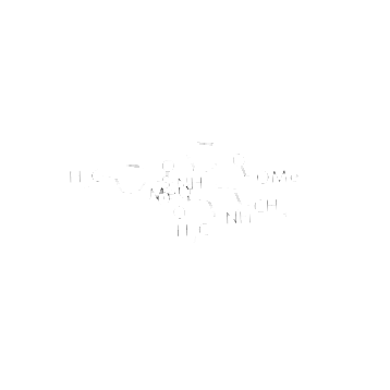 COC(=O)C1=C(C)NC(C)=C(C(=O)OC)C1c1ccccc1NS(=O)(=O)c1ccc(C)cc1